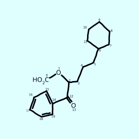 O=C(O)OC(CCCC1CCCCC1)C(=O)c1ccccc1